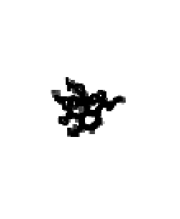 COC(=O)c1cc[c]([Na])c(C(=O)OC)c1S(=O)(=O)O